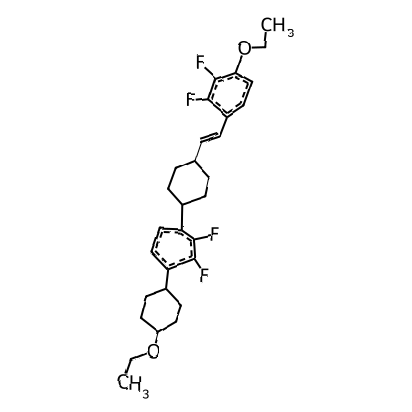 CCOc1ccc(/C=C/C2CCC(c3ccc(C4CCC(OCC)CC4)c(F)c3F)CC2)c(F)c1F